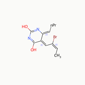 C\C=C(Br)/C=c1/c(O)nc(O)n/c1=C\CCC